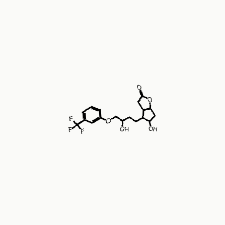 O=C1CC2C(CC(O)C2CCC(O)COc2cccc(C(F)(F)F)c2)O1